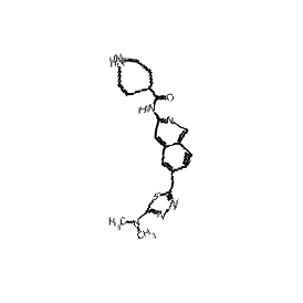 CN(C)c1nnc(-c2ccc3cnc(NC(=O)C4CCNCC4)cc3c2)s1